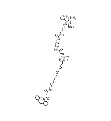 CCCCc1nc2c(N)nc3ccccc3c2n1OCCCCNC(=O)OCc1ccc(NC(=O)CNC(=O)C(NC(=O)CCOCCOCCOCCOCCNC(=O)CCC(=O)N2Cc3ccccc3C#Cc3ccccc32)C(C)C)cc1